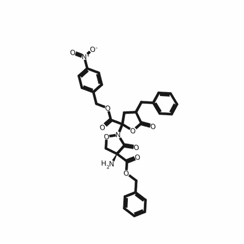 N[C@@]1(C(=O)OCc2ccccc2)CON(C2(C(=O)OCc3ccc([N+](=O)[O-])cc3)CC(Cc3ccccc3)C(=O)O2)C1=O